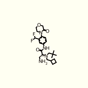 CC(C)(C)CN(CC1CCC1)[C@@H](CN)C(=O)Nc1ccc(N2CCOCC2=O)c(C(F)F)c1